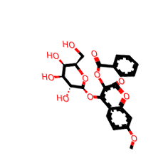 COc1ccc2c(O[C@@H]3O[C@H](CO)[C@H](O)[C@H](O)[C@H]3O)c(OC(=O)c3ccccc3)c(=O)oc2c1